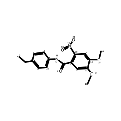 [CH2]Cc1ccc(NC(=O)c2cc(OC)c(OC)cc2[N+](=O)[O-])cc1